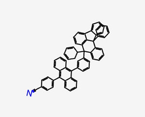 N#Cc1ccc(-c2c3ccccc3c(-c3cccc(C4(C5C=CC=CC5)c5ccccc5C5(c6ccccc6)c6ccccc6-c6cccc4c65)c3)c3ccccc23)cc1